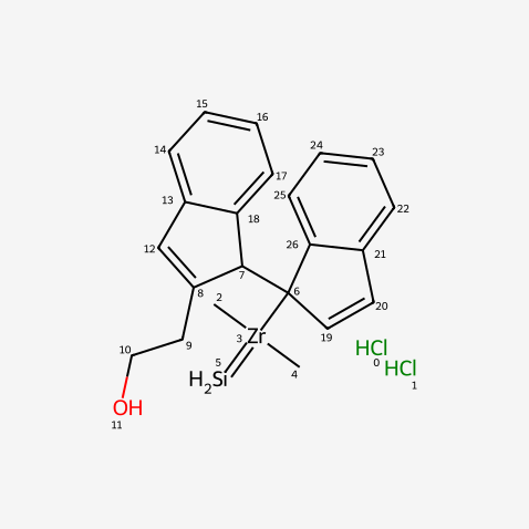 Cl.Cl.[CH3][Zr]([CH3])(=[SiH2])[C]1(C2C(CCO)=Cc3ccccc32)C=Cc2ccccc21